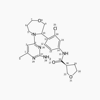 Cc1cc(N2CCCOCC2c2ccc(NC(=O)[C@H]3CCOC3)cc2Cl)nc(N)n1